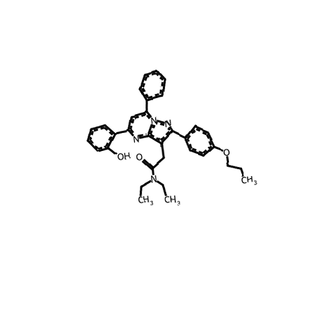 CCCOc1ccc(-c2nn3c(-c4ccccc4)cc(-c4ccccc4O)nc3c2CC(=O)N(CC)CC)cc1